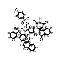 Cc1ccc(S(=O)(=O)OC[C@]2(CO[Si](c3ccccc3)(c3ccccc3)C(C)(C)C)O[C@@H](n3ccc(=O)[nH]c3=O)[C@H](ON3C(=O)c4ccccc4C3=O)[C@@H]2OCc2cccc3ccccc23)cc1